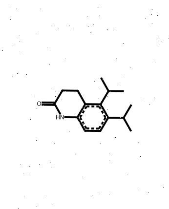 CC(C)c1ccc2c(c1C(C)C)CCC(=O)N2